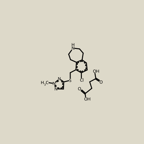 Cn1ncc(SCc2c(Cl)ccc3c2CCNCC3)n1.O=C(O)CCC(=O)O